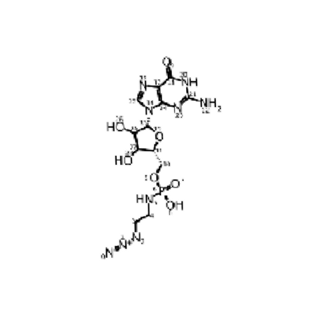 [N-]=[N+]=NCCNP(=O)(O)OC[C@H]1O[C@@H](n2cnc3c(=O)[nH]c(N)nc32)C(O)C1O